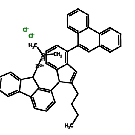 CCCCC1=Cc2c(-c3cc4ccccc4c4ccccc34)cccc2C1c1cccc2c1[CH]([Zr+2][SiH](C)C)c1ccccc1-2.[Cl-].[Cl-]